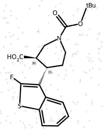 CC(C)(C)OC(=O)N1CC[C@H](c2c(F)sc3ccccc23)[C@@H](C(=O)O)C1